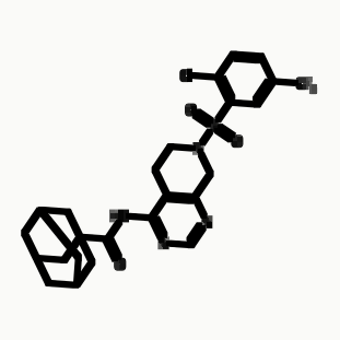 O=C(Nc1ncnc2c1CCN(S(=O)(=O)c1cc(C(F)(F)F)ccc1Cl)C2)C12CC3CC(CC(C3)C1)C2